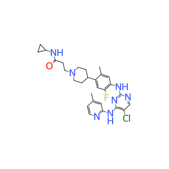 Cc1ccnc(Nc2nc(Nc3cc(C)c(C4CCN(CCC(=O)NC5CC5)CC4)cc3F)ncc2Cl)c1